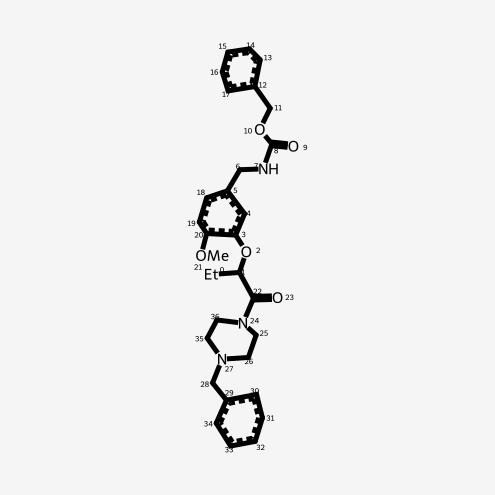 CCC(Oc1cc(CNC(=O)OCc2ccccc2)ccc1OC)C(=O)N1CCN(Cc2ccccc2)CC1